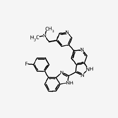 CN(C)Cc1cncc(-c2cc3c(-c4nc5c(-c6cccc(F)c6)cccc5[nH]4)n[nH]c3cn2)c1